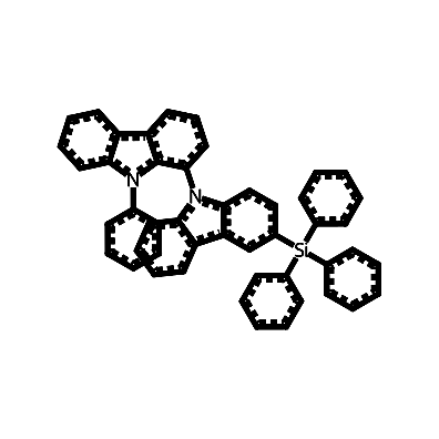 c1ccc(-n2c3ccccc3c3cccc(-n4c5ccccc5c5cc([Si](c6ccccc6)(c6ccccc6)c6ccccc6)ccc54)c32)cc1